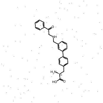 N[C@@H](Cc1ccc(-c2cccc(CNCC(=O)c3ccccc3)c2)cc1)C(=O)O